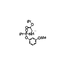 COc1cccc(O[P@](=O)(N[C@@H](C)C(=O)OC(C)C)C(C)C)c1